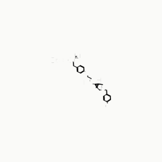 CCOC(=O)[C@@H](Cc1ccc(OCCN[C@H]2[C@@H]3CN(Cc4ccc(Cl)cc4)C[C@@H]32)cc1)OCC